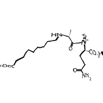 CCCCCCCCCCCCCCCCCCN[C@H](C)C(=O)[N+](=S)[C@@H](CCC(N)=O)C(=O)O